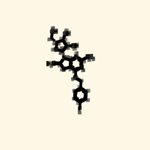 C=C1Sc2c(OCc3ccc(F)cc3)nc(N)nc2N1[C@@H]1O[C@H](CO)[C@@H](O)[C@H]1O